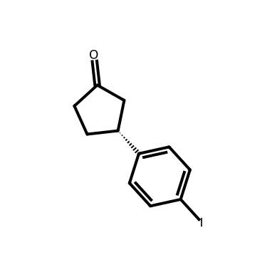 O=C1CC[C@@H](c2ccc(I)cc2)C1